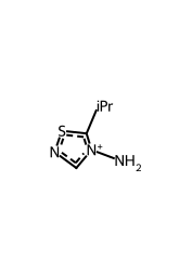 CC(C)c1snc[n+]1N